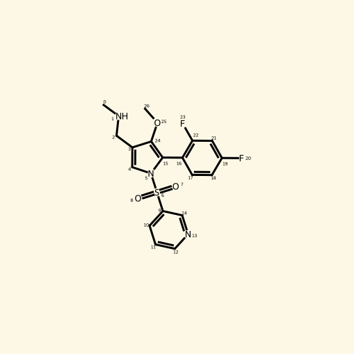 CNCc1cn(S(=O)(=O)c2cccnc2)c(-c2ccc(F)cc2F)c1OC